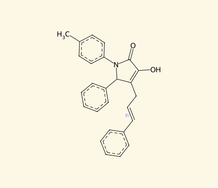 Cc1ccc(N2C(=O)C(O)=C(C/C=C/c3ccccc3)C2c2ccccc2)cc1